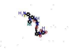 NC(=S)c1cccc(-c2cn(C3CCC(F)(F)CC3)c3cc(NC(=O)CC4CN(CCOCC#Cc5cccc6c5CN(C5CCC(=O)NC5=O)C6=O)C4)ccc23)c1